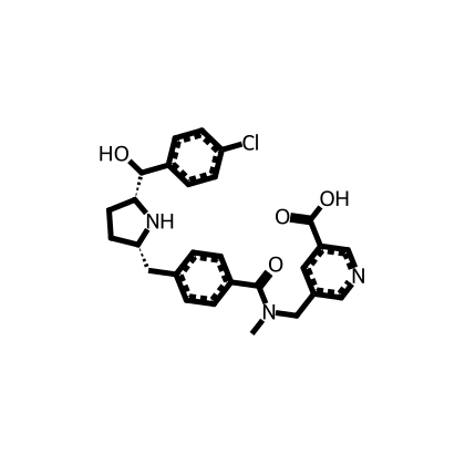 CN(Cc1cncc(C(=O)O)c1)C(=O)c1ccc(C[C@@H]2CC[C@H](C(O)c3ccc(Cl)cc3)N2)cc1